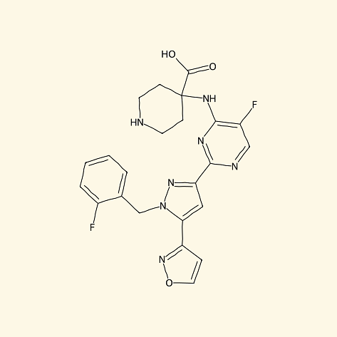 O=C(O)C1(Nc2nc(-c3cc(-c4ccon4)n(Cc4ccccc4F)n3)ncc2F)CCNCC1